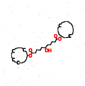 O=C(CCCCC(O)CCCCC(=O)OC1CCCCCCCCCCCCCC1)OC1CCCCCCCCCCCCCC1